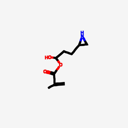 C=C(C)C(=O)OC(O)CCC1CN1